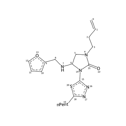 C=CCCN1CC(NCc2ccco2)N(c2nnc(CCCCC)s2)C1=O